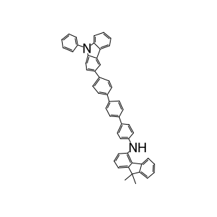 CC1(C)c2ccccc2-c2c(Nc3ccc(-c4ccc(-c5ccc(-c6ccc7c(c6)c6ccccc6n7-c6ccccc6)cc5)cc4)cc3)cccc21